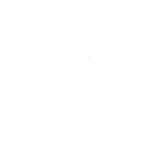 CN1CCC(C(CCN)c2ccc(-c3nc4cc(F)ccc4[nH]3)cn2)CC1